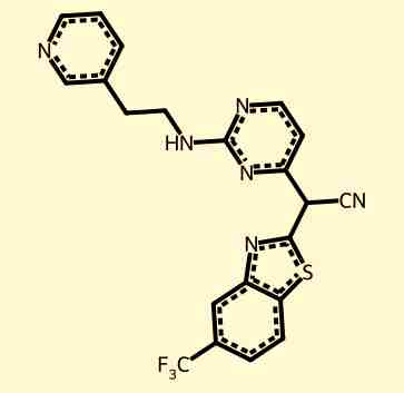 N#CC(c1ccnc(NCCc2cccnc2)n1)c1nc2cc(C(F)(F)F)ccc2s1